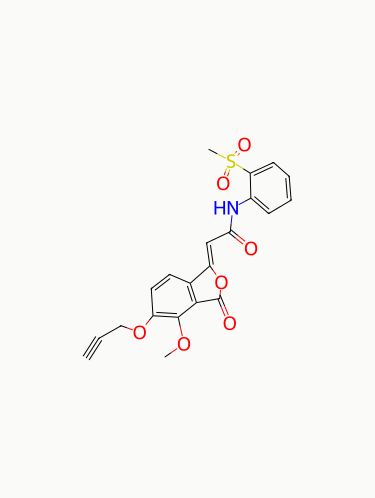 C#CCOc1ccc2c(c1OC)C(=O)O/C2=C\C(=O)Nc1ccccc1S(C)(=O)=O